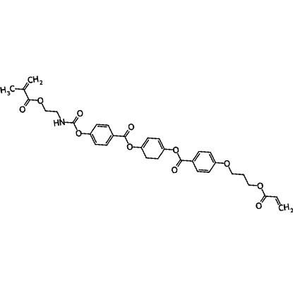 C=CC(=O)OCCCOc1ccc(C(=O)OC2=CC=C(OC(=O)c3ccc(OC(=O)NCCOC(=O)C(=C)C)cc3)CC2)cc1